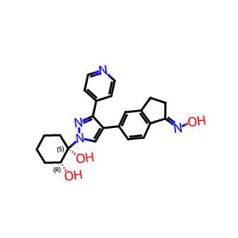 ON=C1CCc2cc(-c3cn([C@]4(O)CCCC[C@H]4O)nc3-c3ccncc3)ccc21